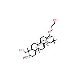 CC1(C)C[C@@H]2C3=CC[C@@H]4[C@@]5(C)CC[C@H](O)C(C)(CO)C5CC[C@@]4(C)[C@]3(C)CC[C@@]2(C)[C@H](OCCCO)C1